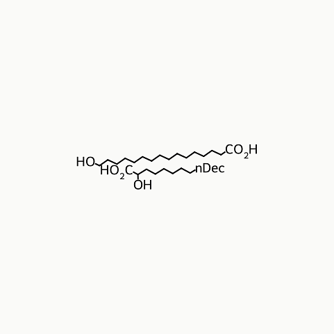 CCCCCCCCCCCCCCCCC(O)C(=O)O.O=C(O)CCCCCCCCCCCCCCCO